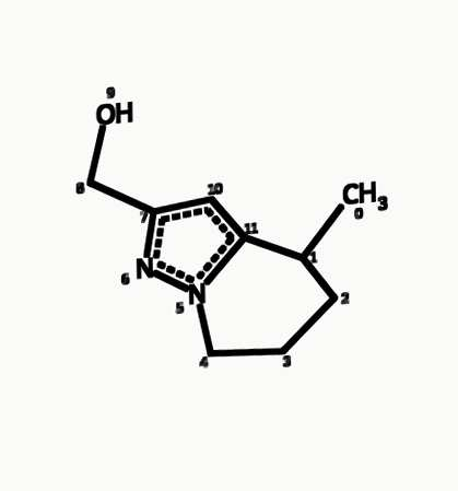 CC1CCCn2nc(CO)cc21